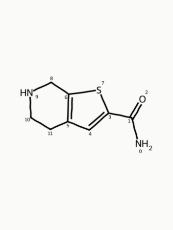 NC(=O)c1cc2c(s1)CNCC2